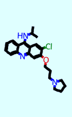 CC(C)Nc1c2ccccc2nc2cc(OCCCN3CCCC3)c(Cl)cc12